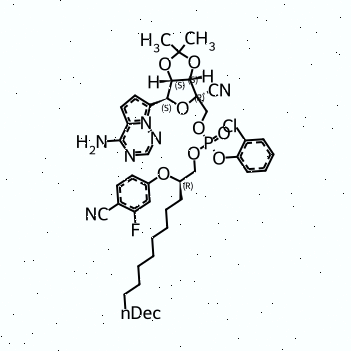 CCCCCCCCCCCCCCCCCC[C@H](COP(=O)(OC[C@@]1(C#N)O[C@@H](c2ccc3c(N)ncnn23)[C@@H]2OC(C)(C)O[C@@H]21)Oc1ccccc1Cl)Oc1ccc(C#N)c(F)c1